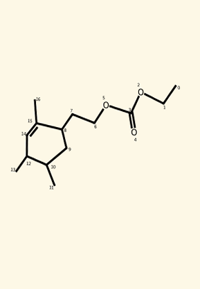 CCOC(=O)OCCC1CC(C)C(C)C=C1C